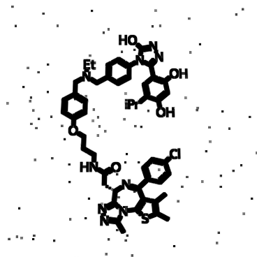 CCN(Cc1ccc(OCCCNC(=O)C[C@@H]2N=C(c3ccc(Cl)cc3)c3c(sc(C)c3C)-n3c(C)nnc32)cc1)Cc1ccc(-n2c(O)nnc2-c2cc(C(C)C)c(O)cc2O)cc1